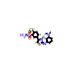 CN(C)c1cccc(N=c2scc(-c3ccc(Cl)c(S(N)(=O)=O)c3)n2C)c1